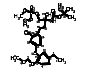 CCc1ccc(OCOC)c(Sc2ccc(CCC(C)(COP(=O)(OC)OC)NC(=O)OC(C)(C)C)c(Cl)c2)c1